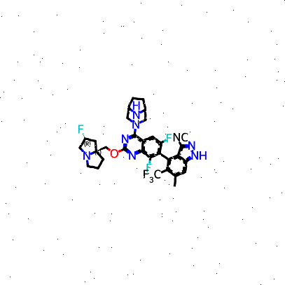 Cc1cc2[nH]nc(C#N)c2c(-c2c(F)cc3c(N4CC5CCC(C4)N5)nc(OC[C@@]45CCCN4C[C@H](F)C5)nc3c2F)c1C(F)(F)F